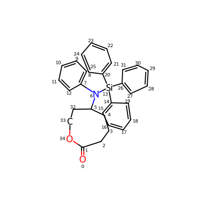 O=C1CCCC(N(c2ccccc2)[Si](c2ccccc2)(c2ccccc2)c2ccccc2)CCO1